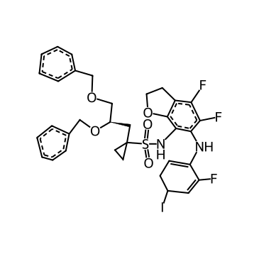 O=S(=O)(Nc1c(NC2=CCC(I)C=C2F)c(F)c(F)c2c1OCC2)C1(C[C@H](COCc2ccccc2)OCc2ccccc2)CC1